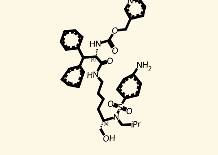 CC(C)CN([C@H](CO)CCCCNC(=O)[C@@H](NC(=O)OCc1cccnc1)C(c1ccccc1)c1ccccc1)S(=O)(=O)c1ccc(N)cc1